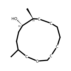 CC1CC[C@H](O)[C@@H](C)CCCCCCCOC1